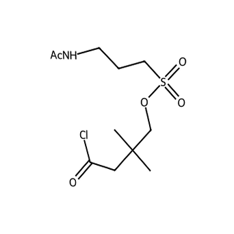 CC(=O)NCCCS(=O)(=O)OCC(C)(C)CC(=O)Cl